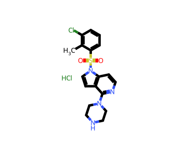 Cc1c(Cl)cccc1S(=O)(=O)n1ccc2c(N3CCNCC3)nccc21.Cl